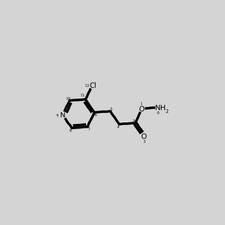 NOC(=O)CCc1ccncc1Cl